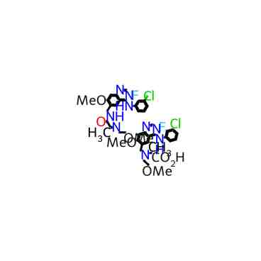 COCCN(Cc1cc2c(Nc3cccc(Cl)c3F)ncnc2cc1OC)[C@@H](C)C(=O)O.COCCN=C(C)C(=O)NCc1cc2c(Nc3cccc(Cl)c3F)ncnc2cc1OC